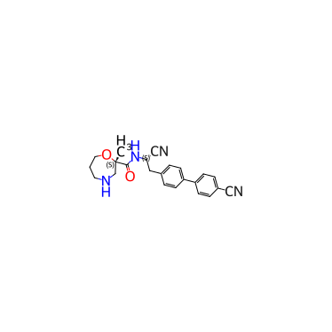 C[C@@]1(C(=O)N[C@H](C#N)Cc2ccc(-c3ccc(C#N)cc3)cc2)CNCCCO1